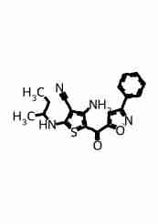 CCC(C)Nc1sc(C(=O)c2cc(-c3ccccc3)no2)c(N)c1C#N